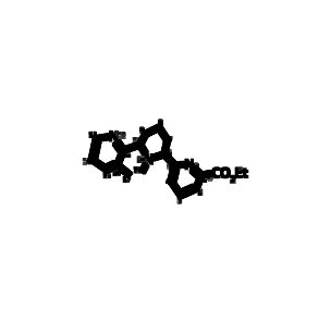 CCOC(=O)c1cccc(C2CCCC(c3ncccc3C)N2C)n1